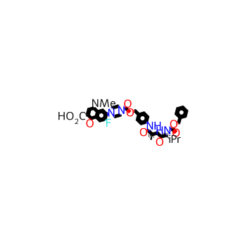 CNC1C=C(C(=O)O)C(=O)c2cc(F)c(N3CCN(C(=O)OCc4ccc(NC(=O)[C@H](C)CC(=O)[C@H](NC(=O)OCc5ccccc5)C(C)C)cc4)CC3)cc21